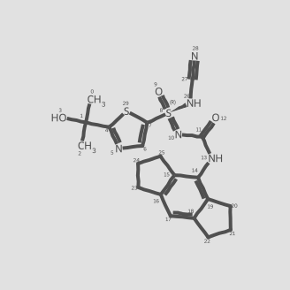 CC(C)(O)c1ncc([S@](=O)(=NC(=O)Nc2c3c(cc4c2CCC4)CCC3)NC#N)s1